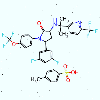 CC(C)(N[C@H]1C[C@@H](c2cc(F)cc(F)c2)N(c2ccc(OC(F)(F)F)cc2)C1=O)c1ccc(C(F)(F)F)nc1.Cc1ccc(S(=O)(=O)O)cc1